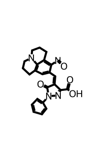 O=Nc1c(/C=C2\C(=O)N(c3ccccc3)N=C2C(=O)O)cc2c3c1CCCN3CCC2